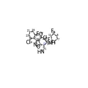 N=C/C(=C(\Nc1cccc(F)c1)C(F)(F)F)c1onc(-c2c(F)cccc2Cl)c1C(=O)Cl